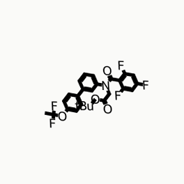 CC(C)(C)OC(=O)CN(C(=O)c1c(F)cc(F)cc1F)c1cccc(-c2ccc(OC(C)(F)F)cc2)c1